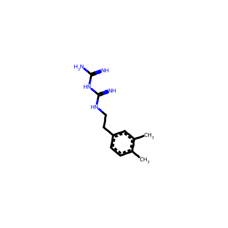 Cc1ccc(CCNC(=N)NC(=N)N)cc1C